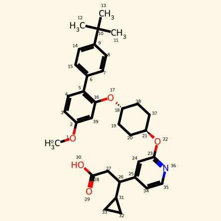 COc1ccc(-c2ccc(C(C)(C)C)cc2)c(O[C@H]2CC[C@H](Oc3cc(C(CC(=O)O)C4CC4)ccn3)CC2)c1